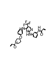 C=CC(=O)Nc1cccc(Nc2ncc(C(F)(F)F)c(Nc3cccc(OC4CCN(C(=O)C=C)CC4)c3)n2)c1